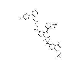 CC1(C)CCC(CNCCNc2ccc(C(=O)NS(=O)(=O)c3ccc(NCC(F)(F)F)c([N+](=O)[O-])c3)c(Oc3cccc4[nH]ccc34)c2)=C(c2ccc(Cl)cc2)C1